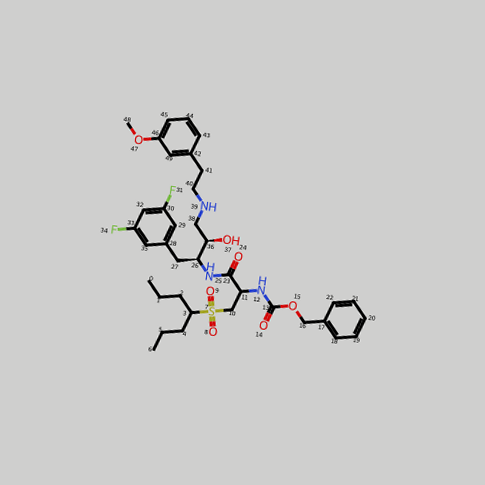 CCCC(CCC)S(=O)(=O)CC(NC(=O)OCc1ccccc1)C(=O)N[C@@H](Cc1cc(F)cc(F)c1)[C@H](O)CNCCc1cccc(OC)c1